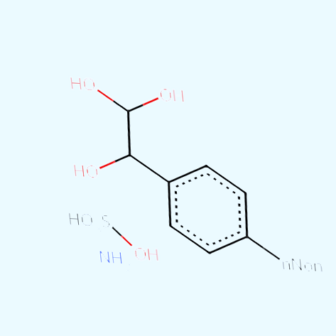 CCCCCCCCCc1ccc(C(O)C(O)O)cc1.N.O=S(=O)(O)O